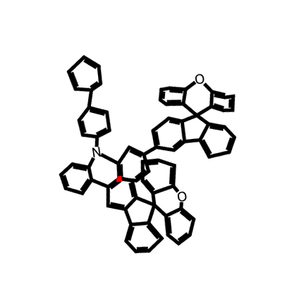 c1ccc(-c2ccc(N(c3cccc(-c4ccc5c(c4)-c4ccccc4C54c5ccccc5Oc5ccccc54)c3)c3ccccc3-c3ccc4c(c3)-c3ccccc3C43c4ccccc4Oc4ccccc43)cc2)cc1